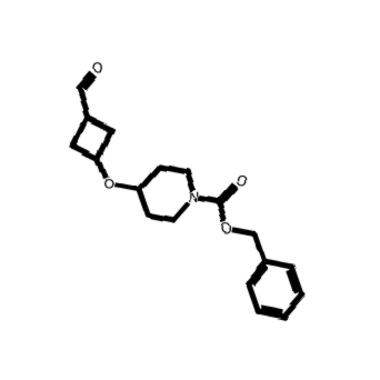 O=CC1CC(OC2CCN(C(=O)OCc3ccccc3)CC2)C1